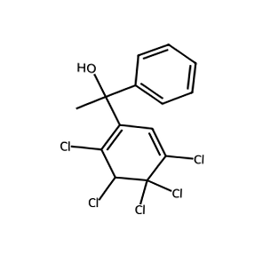 CC(O)(C1=C(Cl)C(Cl)C(Cl)(Cl)C(Cl)=C1)c1ccccc1